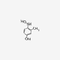 Cc1cc(O)ccc1NO